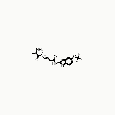 CC(N)C(=O)NCCCC(=O)Nc1nc2ccc(OC(F)(F)F)cc2s1